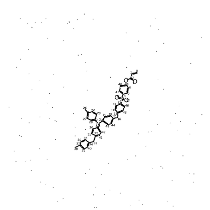 C=CC(=O)Oc1ccc(S(=O)(=O)c2ccc(Cc3ccc(N(c4ccc(C)cc4)c4ccc(Cc5ccc(C)cc5)cc4)cc3)cc2)cc1